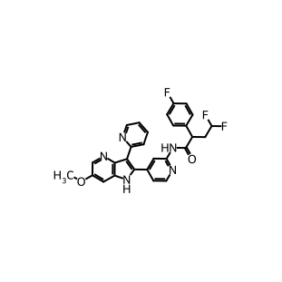 COc1cnc2c(-c3ccccn3)c(-c3ccnc(NC(=O)C(CC(F)F)c4ccc(F)cc4)c3)[nH]c2c1